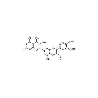 COc1cc(C2Oc3cc(C4Oc5cc(F)cc(O)c5C(O)C4O)cc(O)c3OC2CO)ccc1O